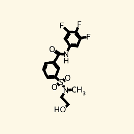 CN(CCO)S(=O)(=O)c1cccc(C(=O)Nc2cc(F)c(F)c(F)c2)c1